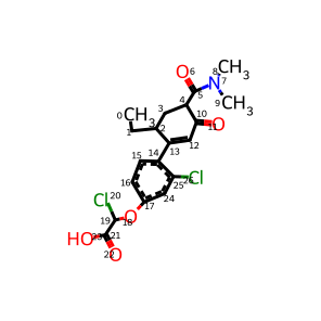 CCC1CC(C(=O)N(C)C)C(=O)C=C1c1ccc(OC(Cl)C(=O)O)cc1Cl